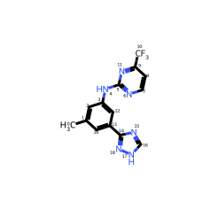 Cc1cc(Nc2nccc(C(F)(F)F)n2)cc(-c2nc[nH]n2)c1